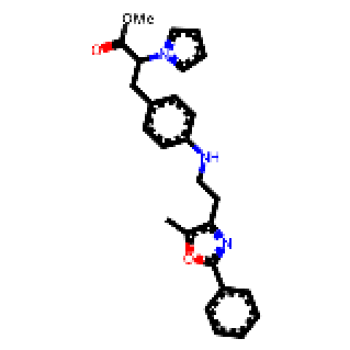 COC(=O)C(Cc1ccc(NCCc2nc(-c3ccccc3)oc2C)cc1)n1cccc1